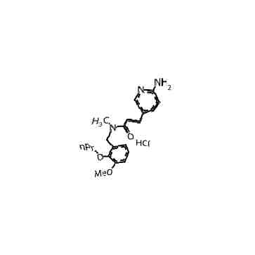 CCCOc1c(CN(C)C(=O)/C=C/c2ccc(N)nc2)cccc1OC.Cl